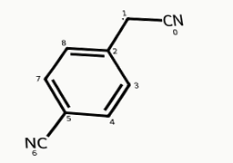 N#C[CH]c1ccc(C#N)cc1